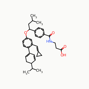 CC(C)CC(Oc1ccc(C2=CCC(C(C)C)C=C2)c(C=C2CC2)c1)c1ccc(C(=O)NCCC(=O)O)cc1